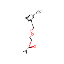 C=C(C)C(=O)OCCOOCc1cccc(C(=O)O)c1